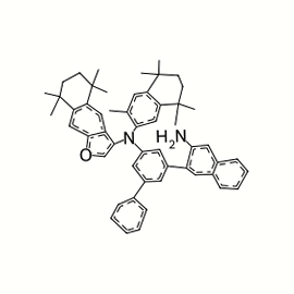 Cc1cc2c(cc1N(c1cc(-c3ccccc3)cc(-c3cc4ccccc4cc3N)c1)c1coc3cc4c(cc13)C(C)(C)CCC4(C)C)C(C)(C)CCC2(C)C